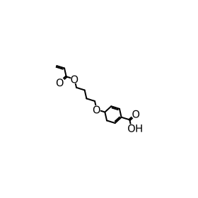 C=CC(=O)OCCCCOC1C=CC(C(=O)O)=CC1